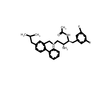 CC(=O)N[C@@H](Cc1cc(F)cc(F)c1)[C@H](N)CNCc1cc(CC(C)C)ccc1-c1ccccc1